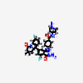 CC1(C)CC(=O)n2c(c(-c3cc(F)c(C(N)=O)c(N[C@H]4CC[C@H](C(=O)NC5CCNCC5)CC4)c3)c3ccc(F)cc32)C1